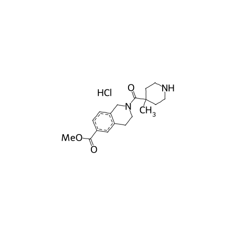 COC(=O)c1ccc2c(c1)CCN(C(=O)C1(C)CCNCC1)C2.Cl